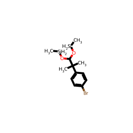 C[SiH2]OC(O[SiH2]C)C(C)(C)c1ccc(Br)cc1